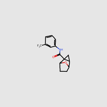 O=C(Nc1cccc(C(F)(F)F)c1)C12CC1C1CCC2O1